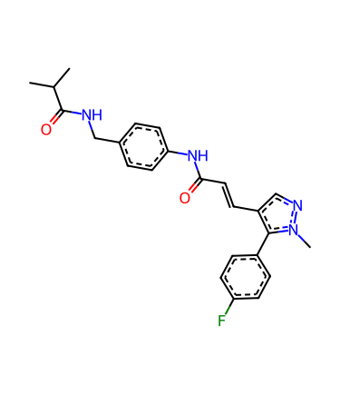 CC(C)C(=O)NCc1ccc(NC(=O)/C=C/c2cnn(C)c2-c2ccc(F)cc2)cc1